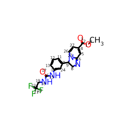 COC(=O)C1=CC2=NCC(c3cccc(NC(=O)NCC(F)(F)F)c3)N2C=C1